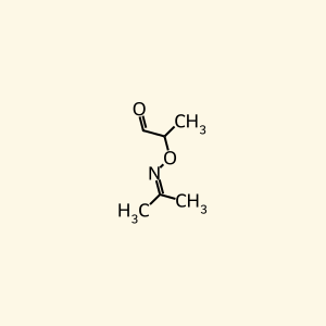 CC(C)=NOC(C)C=O